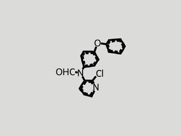 O=CN(c1ccc(Oc2ccccc2)cc1)c1cccnc1Cl